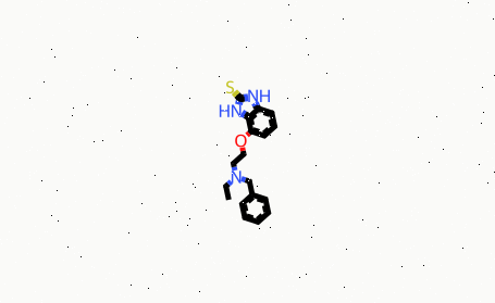 CCN(CCOc1cccc2[nH]c(=S)[nH]c12)Cc1ccccc1